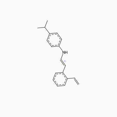 C=Cc1ccccc1/C=C/Nc1ccc(C(C)C)cc1